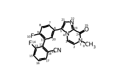 Cn1ccn2c(-c3ccc(F)c(-c4c(F)cccc4C#N)c3)cnc2c1=O